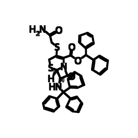 NC(=O)CSC1=C(C(=O)OC(c2ccccc2)c2ccccc2)N2C(=O)[C@@H](NC(c3ccccc3)(c3ccccc3)c3ccccc3)[C@@H]2SC1